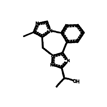 Cc1ncn2c1Cn1nc(C(C)O)nc1-c1ccccc1-2